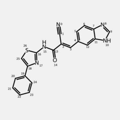 N#C/C(=C\c1ccc2nc[nH]c2c1)C(=O)Nc1nc(-c2ccccc2)cs1